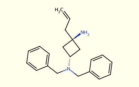 C=CC[C@]1(N)C[C@H](N(Cc2ccccc2)Cc2ccccc2)C1